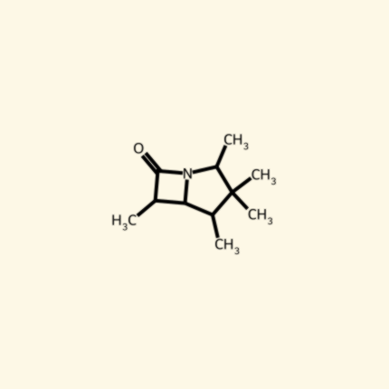 CC1C(=O)N2C1C(C)C(C)(C)C2C